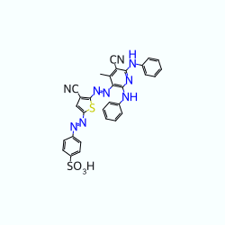 Cc1c(C#N)c(Nc2ccccc2)nc(Nc2ccccc2)c1N=Nc1sc(N=Nc2ccc(S(=O)(=O)O)cc2)cc1C#N